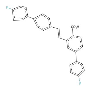 O=C(O)c1ccc(-c2ccc(F)cc2)cc1/C=C/c1ccc(-c2ccc(F)cc2)cc1